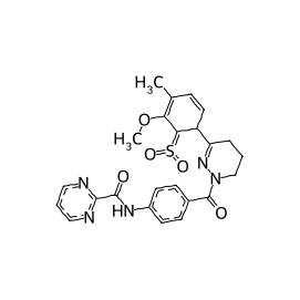 COC1=C(C)C=CC(C2=NN(C(=O)c3ccc(NC(=O)c4ncccn4)cc3)CCC2)C1=S(=O)=O